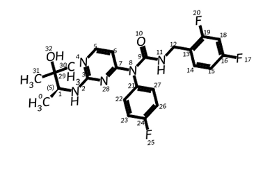 C[C@H](Nc1nccc(N(C(=O)NCc2ccc(F)cc2F)c2ccc(F)cc2)n1)C(C)(C)O